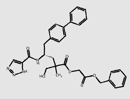 CC(CO)(C[C@@H](Cc1ccc(-c2ccccc2)cc1)NC(=O)c1cnn[nH]1)C(=O)OCC(=O)OCc1ccccc1